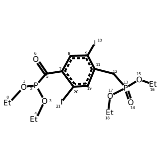 CCOP(OCC)C(=O)c1cc(I)c(CP(=O)(OCC)OCC)cc1I